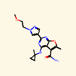 COCCn1cc(-c2nc(NC3(C)CC3)c3c(C(N)=O)c(C)oc3n2)cn1